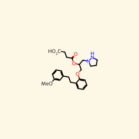 COc1cccc(CCc2ccccc2OCC(CN2CCCN2)OC(=O)CCC(=O)O)c1